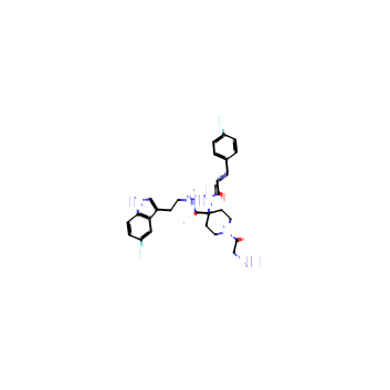 CN(CCc1c[nH]c2ccc(F)cc12)C(=O)C1(NC(=O)/C=C/c2ccc(F)cc2)CCN(C(=O)CN)CC1